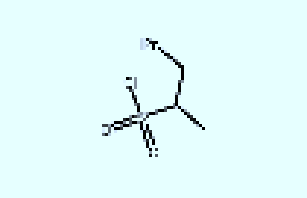 CC(C)CC(C)S(=O)(=O)Cl